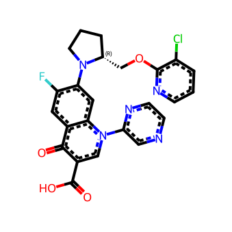 O=C(O)c1cn(-c2cnccn2)c2cc(N3CCC[C@@H]3COc3ncccc3Cl)c(F)cc2c1=O